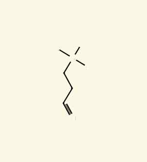 C=CCC[Si](Cl)(Cl)Cl